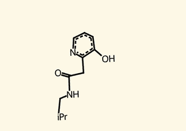 CC(C)CNC(=O)Cc1ncccc1O